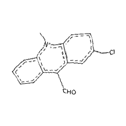 C[n+]1c2ccccc2c(C=O)c2cc(Cl)ccc21